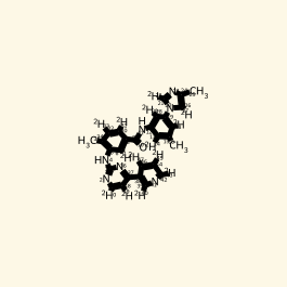 [2H]c1nc(Nc2c([2H])c(C(=O)Nc3c([2H])c(C)c([2H])c(-n4c([2H])nc(C)c4[2H])c3[2H])c([2H])c([2H])c2C)nc(-c2c([2H])nc([2H])c([2H])c2[2H])c1[2H]